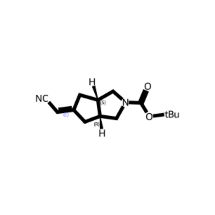 CC(C)(C)OC(=O)N1C[C@H]2C/C(=C\C#N)C[C@H]2C1